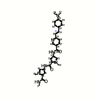 CNC(=O)c1cc(NC(=O)c2cc(NC(=O)c3ccc(/C=C/c4ccc(N(C)C)cc4)nc3)cn2C)cn1C